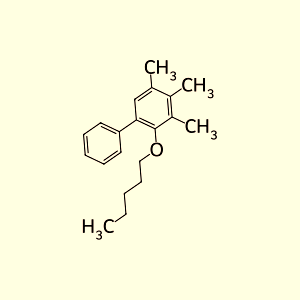 CCCCCOc1c(-c2ccccc2)cc(C)c(C)c1C